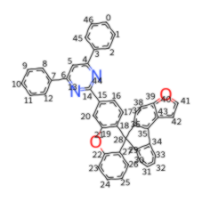 c1ccc(-c2cc(-c3ccccc3)nc(-c3ccc4c(c3)Oc3ccccc3C43c4ccccc4-c4c3ccc3occc43)n2)cc1